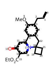 C=CCc1cc2c(cc1OC)-c1cc(=O)c(C(=O)OCC)cn1C1(CCC1)C2